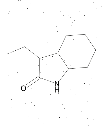 CCC1C(=O)NC2CCCCC21